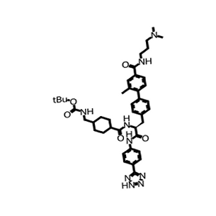 Cc1cc(C(=O)NCCCN(C)C)ccc1-c1ccc(C[C@H](NC(=O)C2CCC(CNC(=O)OC(C)(C)C)CC2)C(=O)Nc2ccc(-c3nn[nH]n3)cc2)cc1